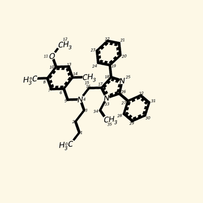 CCCCN(Cc1cc(C)c(OC)cc1C)Cc1c(-c2ccccc2)nc(-c2ccccc2)n1CC